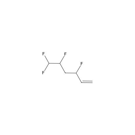 C=CC(F)CC(F)C(F)F